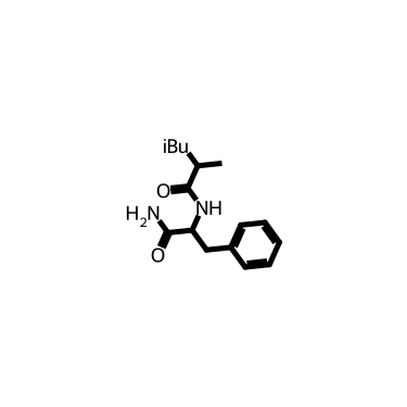 CCC(C)C(C)C(=O)NC(Cc1ccccc1)C(N)=O